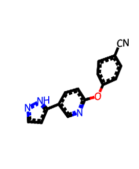 N#Cc1ccc(Oc2ccc(-c3ccn[nH]3)cn2)cc1